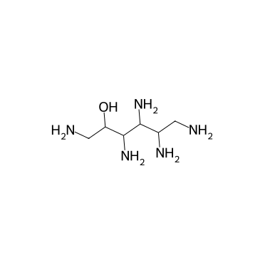 NCC(N)C(N)C(N)C(O)CN